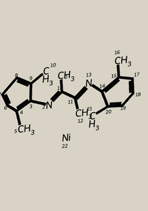 CC(=Nc1c(C)cccc1C)C(C)=Nc1c(C)cccc1C.[Ni]